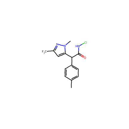 Cc1ccc(C(C(=O)NCl)c2cc(C(F)(F)F)nn2C)cc1